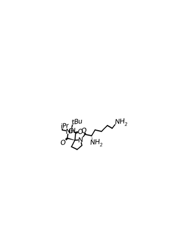 CC(C)CNC(=O)[C@]1(C(=O)OC(C)(C)C)CCCN1C(=O)[C@@H](N)CCCCN